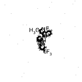 Cc1cnc(-c2ncccc2F)c(C(=O)N2CC3CC[C@H]2[C@H](Oc2ccc(C(F)(F)F)cn2)C3)c1